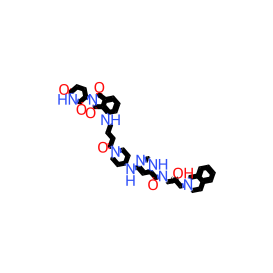 O=C1CCC(N2C(=O)c3cccc(NCCCC(=O)N4CCC(Nc5cc(C(=O)NC[C@H](O)CN6CCc7ccccc7C6)ncn5)CC4)c3C2=O)C(=O)N1